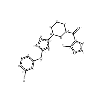 Cc1oncc1C(=O)N1CCC[C@H](c2nc(Oc3cccc(F)c3)no2)C1